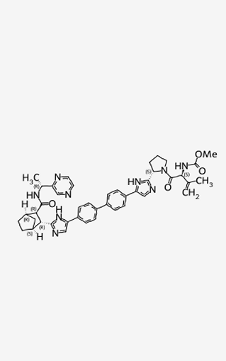 C=C(C)[C@H](NC(=O)OC)C(=O)N1CCC[C@H]1c1ncc(-c2ccc(-c3ccc(-c4cnc([C@@H]5[C@H]6CC[C@H](C6)[C@H]5C(=O)N[C@H](C)c5cnccn5)[nH]4)cc3)cc2)[nH]1